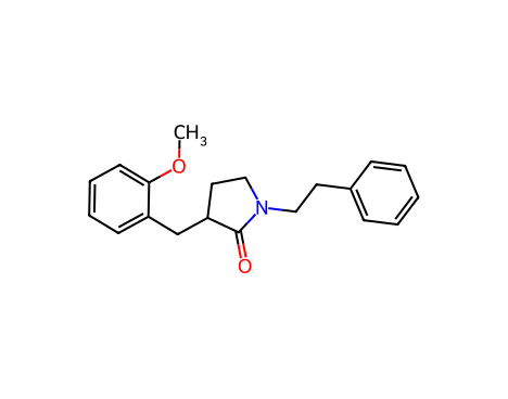 COc1ccccc1CC1CCN(CCc2ccccc2)C1=O